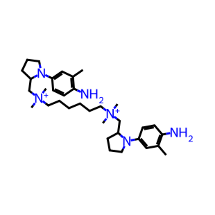 Cc1cc(N2CCCC2C[N+](C)(C)CCCCCC[N+](C)(C)CC2CCCN2c2ccc(N)c(C)c2)ccc1N